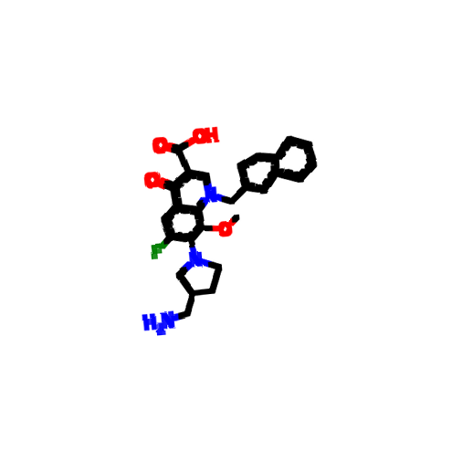 COc1c(N2CCC(CN)C2)c(F)cc2c(=O)c(C(=O)O)cn(Cc3ccc4ccccc4c3)c12